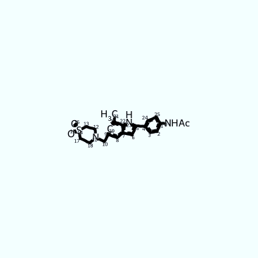 CC(=O)Nc1ccc(-c2cc3cc(CN4CCS(=O)(=O)CC4)cc(C)c3[nH]2)cc1